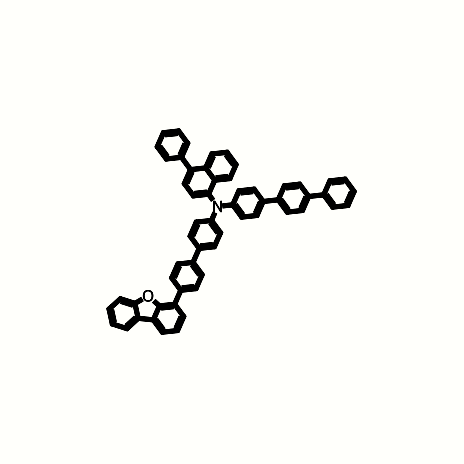 c1ccc(-c2ccc(-c3ccc(N(c4ccc(-c5ccc(-c6cccc7c6oc6ccccc67)cc5)cc4)c4ccc(-c5ccccc5)c5ccccc45)cc3)cc2)cc1